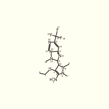 CCSC1=C(N)N(C)N(C)C1C1N=C2C=C(C(F)(F)F)N=CN2N1C